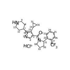 Cl.O=C(c1cnn(C2CCNCC2)c1C1CC1)N1CCCC1c1ccccc1C(F)(F)F